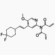 C=CC(=O)N(C(=O)C=C)c1cc(/C=C/C2CCC(F)(F)CC2)c(OC)cn1